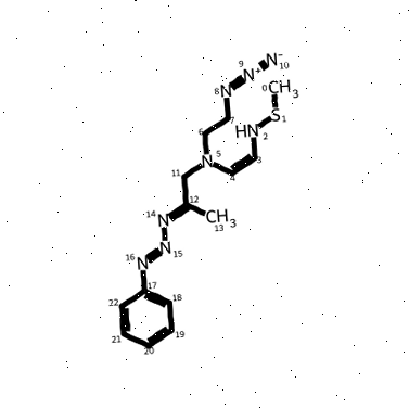 CSN/C=C\N(CCN=[N+]=[N-])C/C(C)=N/N=N/c1ccccc1